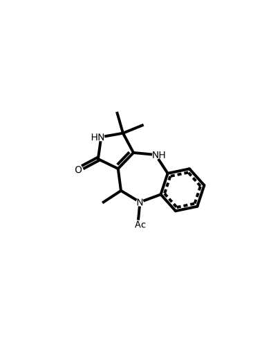 CC(=O)N1c2ccccc2NC2=C(C(=O)NC2(C)C)C1C